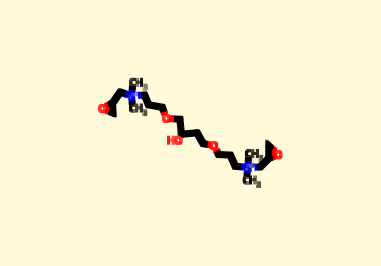 C[N+](C)(CCCOCCC(O)COCCC[N+](C)(C)CC1CO1)CC1CO1